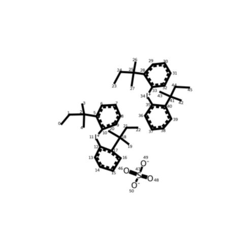 CCC(C)(C)c1ccccc1[I+]c1ccccc1C(C)(C)CC.CCC(C)(C)c1ccccc1[I+]c1ccccc1C(C)(C)CC.O=S(=O)([O-])[O-]